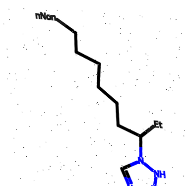 CCCCCCCCCCCCCCCC(CC)N1C=NNN1